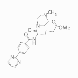 COC(=O)CCC[C@H](NC(=O)c1ccc(-c2ncccn2)cc1)C(=O)N1CCN(C)CC1